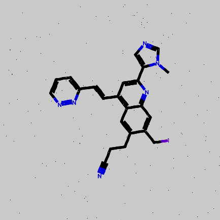 Cn1cncc1-c1cc(/C=C/c2cccnn2)c2cc(CCC#N)c(CI)cc2n1